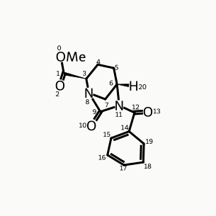 COC(=O)[C@H]1CC[C@H]2CN1C(=O)N2C(=O)c1ccccc1